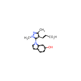 Cc1nn(C)c(-n2ccc3ccc(O)cc32)c1C=CC(=O)O